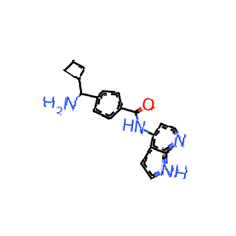 NC(c1ccc(C(=O)Nc2ccnc3[nH]ccc23)cc1)C1CCC1